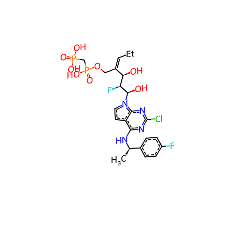 CC/C=C(/COP(=O)(O)CP(=O)(O)O)[C@@H](O)[C@H](F)[C@@H](O)n1ccc2c(N[C@H](C)c3ccc(F)cc3)nc(Cl)nc21